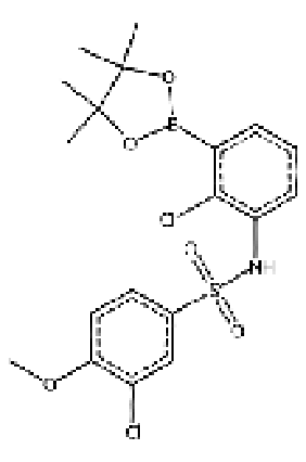 COc1ccc(S(=O)(=O)Nc2cccc(B3OC(C)(C)C(C)(C)O3)c2Cl)cc1Cl